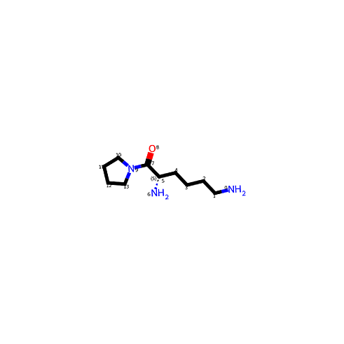 NCCCC[C@H](N)C(=O)N1CCCC1